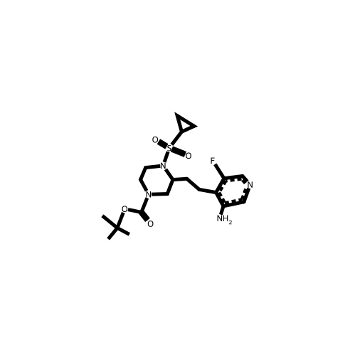 CC(C)(C)OC(=O)N1CCN(S(=O)(=O)C2CC2)C(CCc2c(N)cncc2F)C1